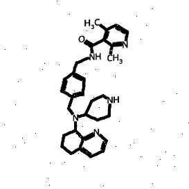 Cc1ccnc(C)c1C(=O)NCc1ccc(CN(C2CCNCC2)C2CCCc3cccnc32)cc1